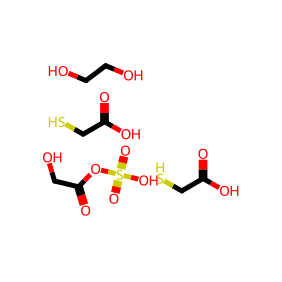 O=C(CO)OS(=O)(=O)O.O=C(O)CS.O=C(O)CS.OCCO